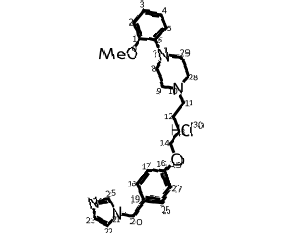 COc1ccccc1N1CCN(CCCCOc2ccc(Cn3ccnc3)cc2)CC1.Cl